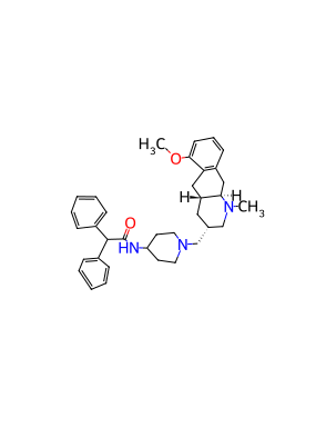 COc1cccc2c1C[C@H]1C[C@@H](CN3CCC(NC(=O)C(c4ccccc4)c4ccccc4)CC3)CN(C)[C@@H]1C2